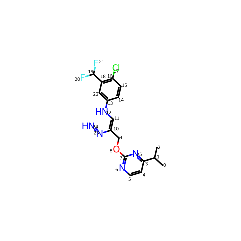 CC(C)c1ccnc(OC/C(=C/Nc2ccc(Cl)c(C(F)F)c2)N=N)n1